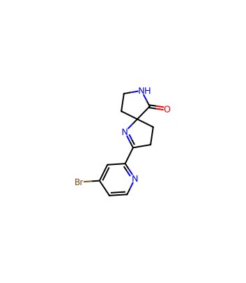 O=C1NCCC12CCC(c1cc(Br)ccn1)=N2